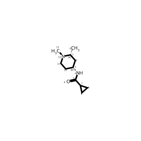 C[C@@H]1C[C@H](NC(=O)C2CC2)CCN1C